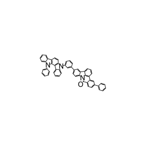 O=c1c2ccc(-c3ccccc3)cc2c2cccc3c4cc(-c5cccc(-n6c7ccccc7c7c6ccc6c8ccccc8n(-c8ccccc8)c67)c5)ccc4n1c23